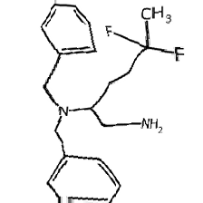 CC(F)(F)CCC(CN)N(Cc1ccccc1)Cc1ccccc1